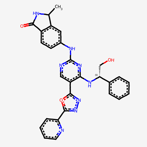 CC1NC(=O)c2ccc(Nc3ncc(-c4nnc(-c5ccccn5)o4)c(N[C@H](CO)c4ccccc4)n3)cc21